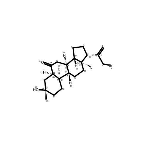 C=C(CBr)[C@H]1CC[C@H]2[C@@H]3CC(=O)[C@@H]4C[C@@](C)(O)CC[C@@H]4[C@H]3CC[C@]12C